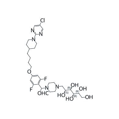 O=CC(c1c(F)cc(OCCCCC2CCN(c3ncc(Cl)cn3)CC2)cc1F)N1CCN(C[C@H](O)[C@@H](O)[C@H](O)[C@H](O)CO)CC1